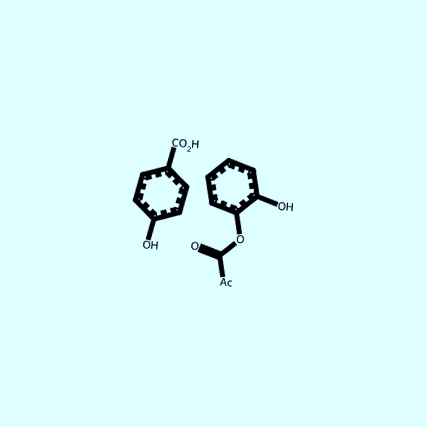 CC(=O)C(=O)Oc1ccccc1O.O=C(O)c1ccc(O)cc1